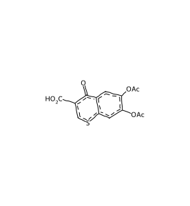 CC(=O)Oc1cc2scc(C(=O)O)c(=O)c2cc1OC(C)=O